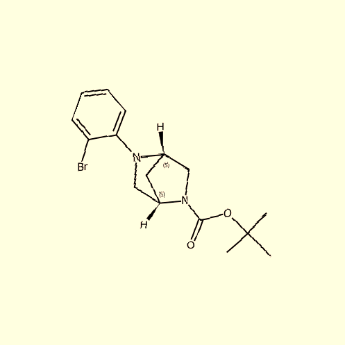 CC(C)(C)OC(=O)N1C[C@@H]2C[C@H]1CN2c1ccccc1Br